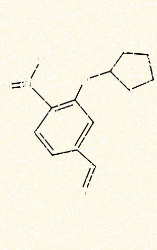 O=Cc1ccc([N+](=O)[O-])c(OC2CCCC2)c1